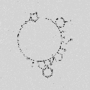 CC(C)C[C@H]1NC(=O)c2cc(F)ccc2OCc2cn(nn2)CCCCCCCCNC(=O)[C@H](Cc2ccccc2)N(C)C(=O)[C@H]2CCCN2C1=O